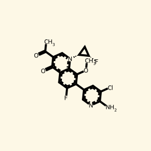 COc1c(-c2cnc(N)c(Cl)c2)c(F)cc2c(=O)c(C(C)=O)cn([C@@H]3C[C@@H]3F)c12